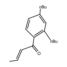 C/C=C/C(=O)c1ccc(CCCC)cc1CCCC